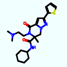 CN(C)CCN1C(=O)c2cc(-c3cccs3)nn2CC1(C)C(=O)NC1CCCCC1